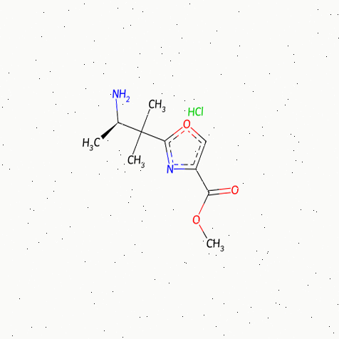 COC(=O)c1coc(C(C)(C)[C@@H](C)N)n1.Cl